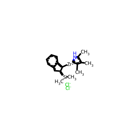 Cc1[nH][c]([Zr+2][C]2=c3ccccc3=CC2=[Si](C)C)c(C)c1C.[Cl-].[Cl-]